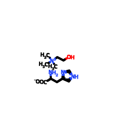 C[N+](C)(C)CCO.NC(Cc1c[nH]cn1)C(=O)[O-]